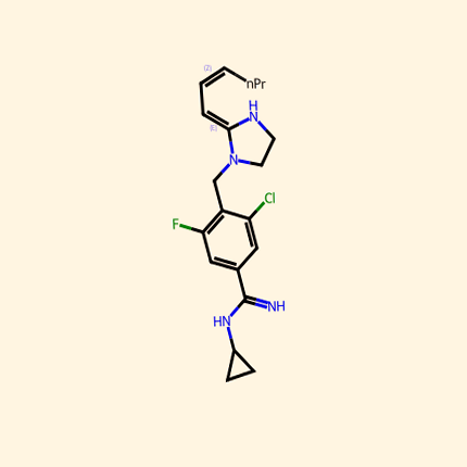 CCC/C=C\C=C1/NCCN1Cc1c(F)cc(C(=N)NC2CC2)cc1Cl